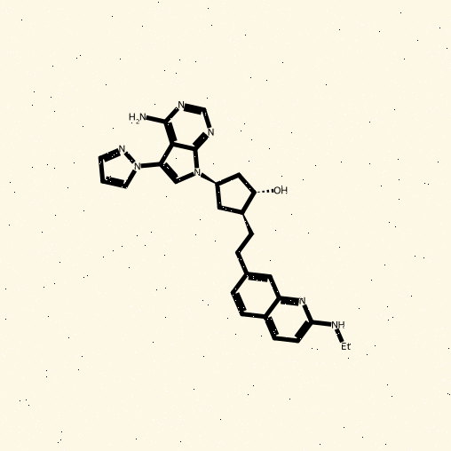 CCNc1ccc2ccc(CC[C@H]3C[C@@H](n4cc(-n5cccn5)c5c(N)ncnc54)C[C@@H]3O)cc2n1